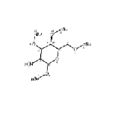 CCCCOCC1OC(OCCCC)C(N)C(OCCCC)[C@H]1OCCCC